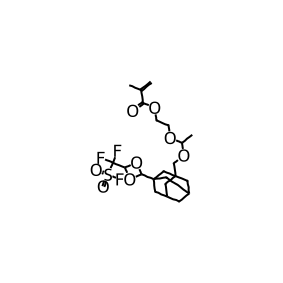 C=C(C)C(=O)OCCOC(C)OCC12CC3CC(C1)CC(C1OC(C(F)(F)S(=O)(=O)F)O1)(C3)C2